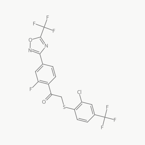 O=C(CSc1ccc(C(F)(F)F)cc1Cl)c1ccc(-c2noc(C(F)(F)F)n2)cc1F